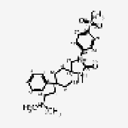 CN(C)CC[C@]1(c2ccccc2)CC[C@]2(CC1)CN(c1ccc(S(C)(=O)=O)cc1)C(=O)N2